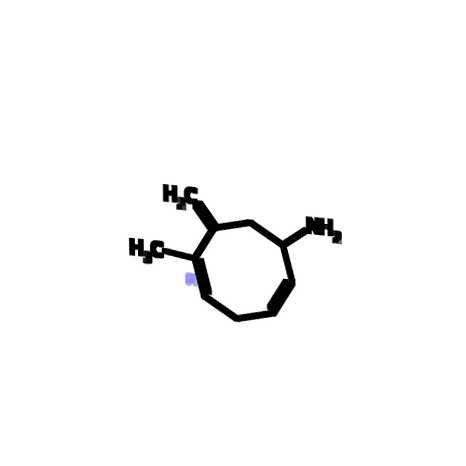 C=C1CC(N)C=CC/C=C\1C